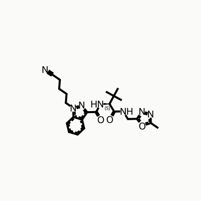 Cc1nnc(CNC(=O)[C@@H](NC(=O)c2nn(CCCCC#N)c3ccccc23)C(C)(C)C)o1